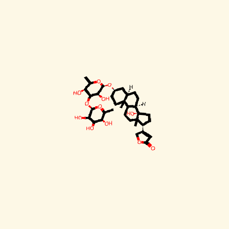 CC1O[C@H](OC2[C@@H](O)C(C)O[C@@H](O[C@H]3CCC4(C)C5CCC6(C)[C@@H](C7=CC(=O)OC7)CC[C@]6(O)[C@@H]5CC[C@@H]4C3)[C@H]2O)C(O)C(O)[C@@H]1O